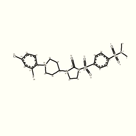 CN(C)S(=O)(=O)c1ccc(S(=O)(=O)N2CCN(C3CCN(c4ccc(Cl)cc4F)CC3)C2=O)cc1